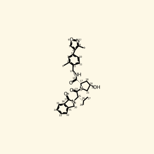 Cc1cc(-c2conc2C)ccc1CNC(=O)[C@@H]1C[C@@H](O)CN1C(=O)[C@H](C(C)C)N1Cc2ccccc2C1=O